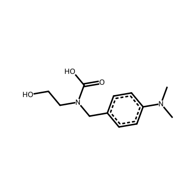 CN(C)c1ccc(CN(CCO)C(=O)O)cc1